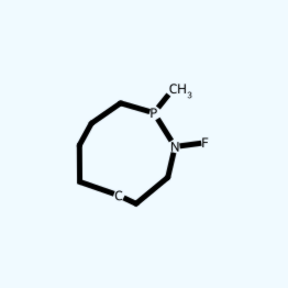 CP1CCCCCCCN1F